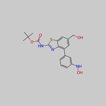 CC(C)(C)OC(=O)Nc1nc2c(-c3cccc(NO)c3)cc(CO)cc2s1